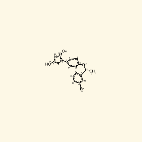 C[C@@H](Oc1ccc(-c2cc(O)n[s+]2[O-])cc1)c1cccc(Br)c1